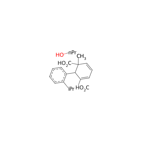 CC(C)c1ccccc1C1C(C(=O)O)=CC=CC1(C)C(=O)O.CCCO